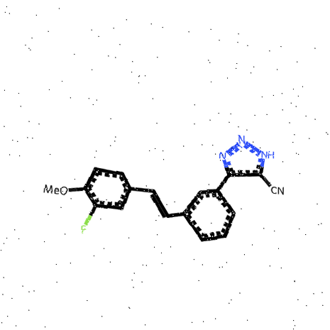 COc1ccc(/C=C/c2cccc(-c3nn[nH]c3C#N)c2)cc1F